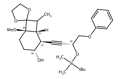 CO[C@]12CC[C@@H](O)[C@H](C#C[C@H](COc3ccccc3)O[Si](C)(C)C(C)(C)C)[C@H]1C(C)C21OCCO1